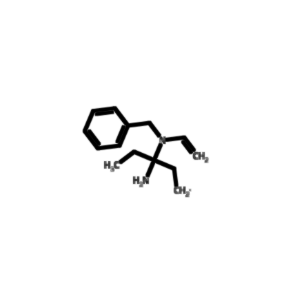 [CH2]CC(N)(CC)N(C=C)Cc1ccccc1